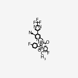 C[C@H]1[C@H](F)C[C@@H](C(=O)NCc2cc(-c3cnc(C(F)(F)F)nc3)c(C#N)cn2)N1S(=O)(=O)c1ccc(F)cc1